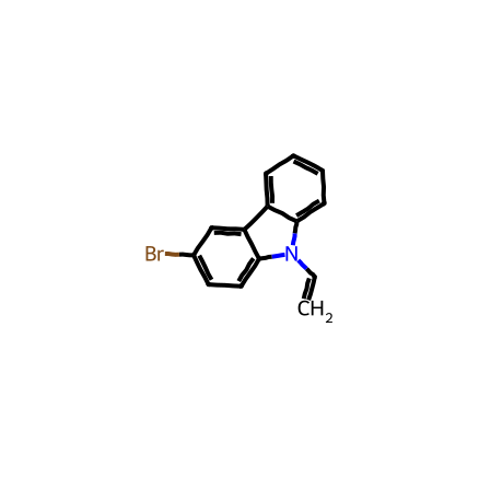 C=Cn1c2ccccc2c2cc(Br)ccc21